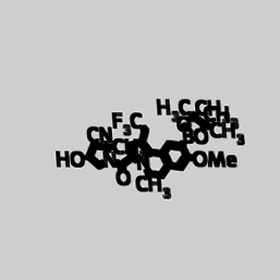 COc1cc2c(cc1B1OC(C)(C)C(C)(C)O1)-c1c(CC(F)(F)F)cc(C(=O)N3C[C@@H](O)C[C@]3(C)C#N)n1[C@H](C)C2